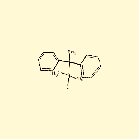 C[Si](C)(Cl)C(P)(c1ccccc1)c1ccccc1